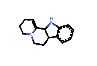 C1=C2C3Nc4ccccc4C3CCN2CCC1